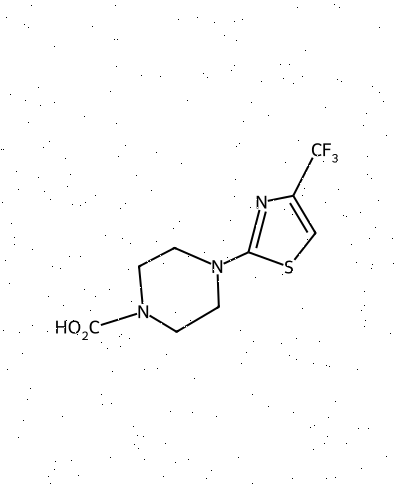 O=C(O)N1CCN(c2nc(C(F)(F)F)cs2)CC1